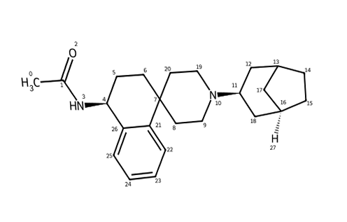 CC(=O)N[C@H]1CCC2(CCN([C@H]3CC4CC[C@H](C4)C3)CC2)c2ccccc21